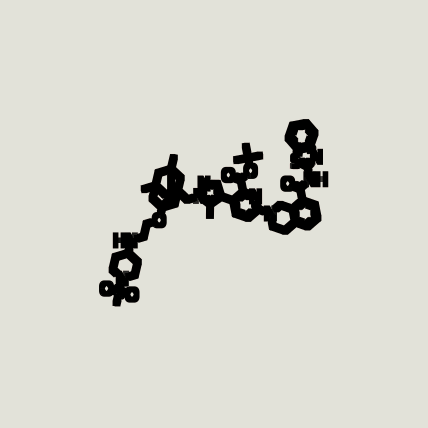 Cc1c(-c2ccc(N3CCc4cccc(C(=O)Nc5nc6ccccc6s5)c4C3)nc2C(=O)OC(C)(C)C)cnn1CC12CC3(C)CC(C)(C1)CC(OCCNC1CCN(S(C)(=O)=O)CC1)(C3)C2